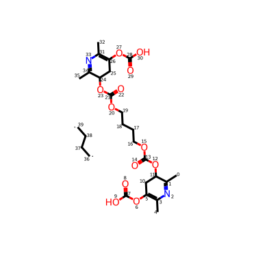 CC1=NC(C)=C(OC(=O)O)CC1OC(=O)OCCCCOC(=O)OC1CC(OC(=O)O)=C(C)N=C1C.[CH2]CC[CH2]